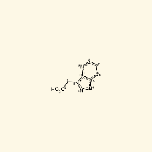 O=C(O)Cn1nnc2cccnc21